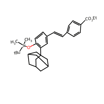 CCOC(=O)c1ccc(C=Cc2ccc(O[Si](C)(C)C(C)(C)C)c(C34CC5CC(CC(C5)C3)C4)c2)cc1